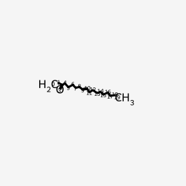 C=CC(=O)CCCCCC=CCCCCCCCCC